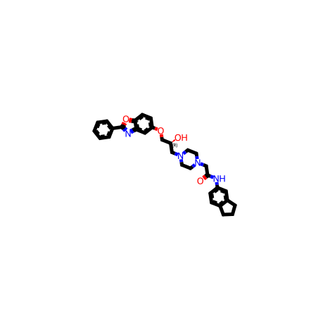 O=C(CN1CCN(C[C@@H](O)COc2ccc3oc(-c4ccccc4)nc3c2)CC1)Nc1ccc2c(c1)CCC2